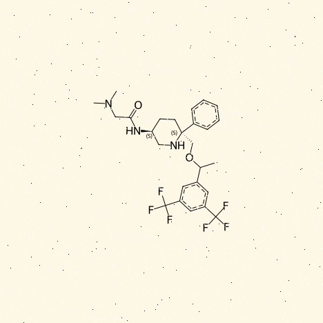 CC(OC[C@@]1(c2ccccc2)CC[C@H](NC(=O)CN(C)C)CN1)c1cc(C(F)(F)F)cc(C(F)(F)F)c1